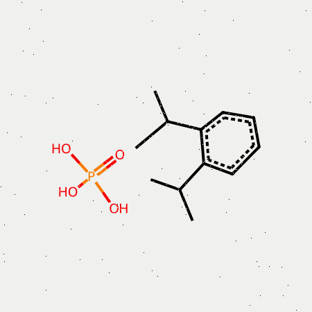 CC(C)c1ccccc1C(C)C.O=P(O)(O)O